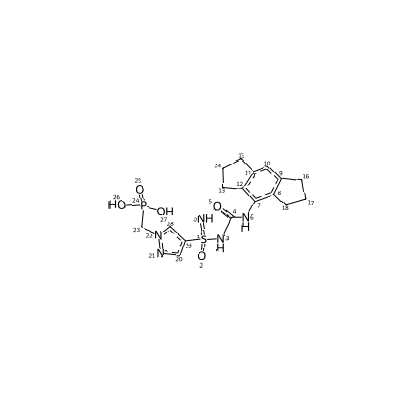 N=S(=O)(NC(=O)Nc1c2c(cc3c1CCC3)CCC2)c1cnn(CP(=O)(O)O)c1